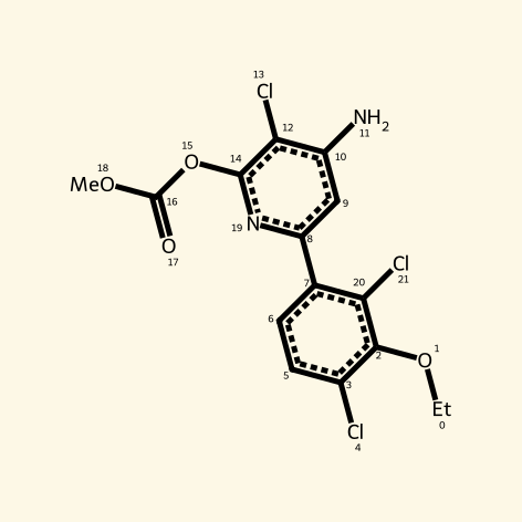 CCOc1c(Cl)ccc(-c2cc(N)c(Cl)c(OC(=O)OC)n2)c1Cl